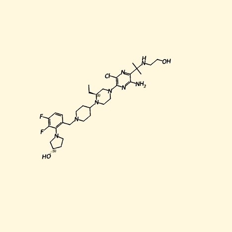 CC[C@H]1CN(c2nc(N)c(C(C)(C)NCCO)nc2Cl)CCN1C1CCN(Cc2ccc(F)c(F)c2N2CC[C@H](O)C2)CC1